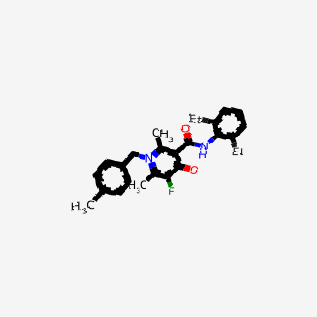 CCc1cccc(CC)c1NC(=O)c1c(C)n(Cc2ccc(C)cc2)c(C)c(F)c1=O